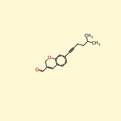 CC(C)CCC#Cc1ccc2c(c1)OCC(C=O)=C2